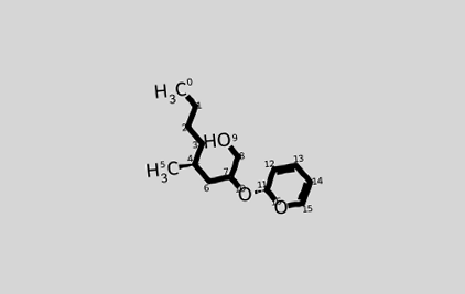 CCCC[C@H](C)CC(CO)O[C@@H]1C=CC=CO1